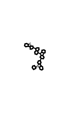 c1ccc(-n2c3ccccc3c3cc(-c4ccc5c(c4)C(c4cccc6c(-c7ccc8c(c7)sc7ccccc78)cccc46)c4ccccc4-5)ccc32)cc1